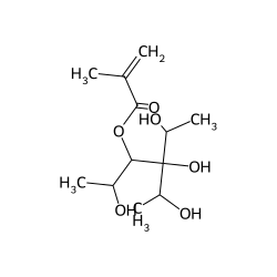 C=C(C)C(=O)OC(C(C)O)C(O)(C(C)O)C(C)O